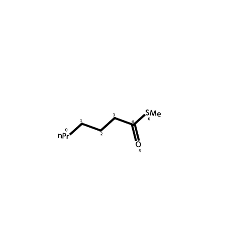 CCCCCCC(=O)SC